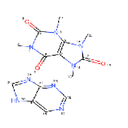 Cn1c(=O)c2c(n(C)c1=O)n(C)c(=O)n2C.c1ncc2[nH]cnc2n1